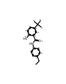 CCc1ccc(NC(=O)c2cc(C(C)(C)C)ccc2S)cc1